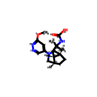 COc1cc(N2C[C@H]3CC[C@@H](C2)[C@H]3CC(C)(C)NC(=O)O)cnn1